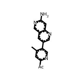 CC(=O)c1cc(C)c(-c2cnc3cc(N)ncc3c2)cn1